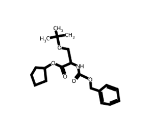 CC(C)(C)OCC(NC(=O)OCc1ccccc1)C(=O)OC1CCCC1